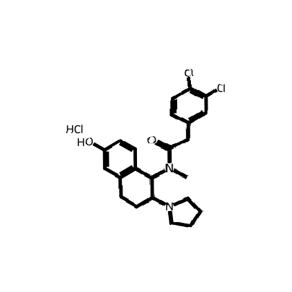 CN(C(=O)Cc1ccc(Cl)c(Cl)c1)C1c2ccc(O)cc2CCC1N1CCCC1.Cl